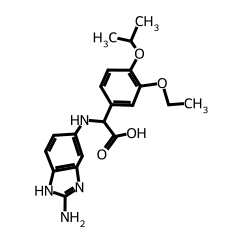 CCOc1cc(C(Nc2ccc3[nH]c(N)nc3c2)C(=O)O)ccc1OC(C)C